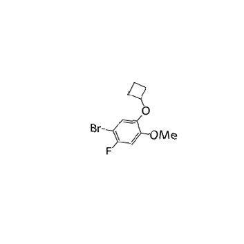 COc1cc(F)c(Br)cc1OC1CCC1